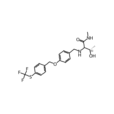 CNC(=O)C(NCc1ccc(OCc2ccc(SC(F)(F)F)cc2)cc1)[C@H](C)O